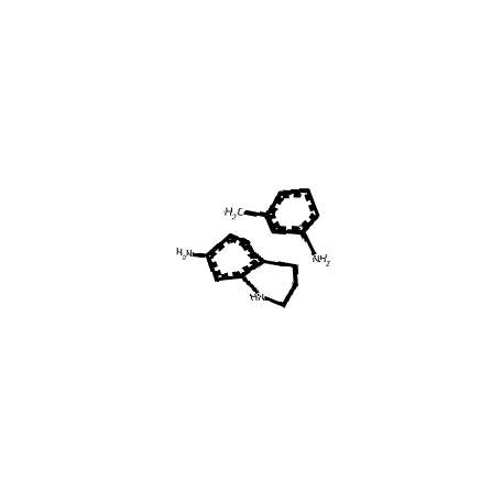 Nc1ccc2c(c1)NCCC2.[CH2]c1cccc(N)c1